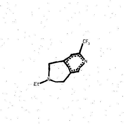 CCN1Cc2cnc(C(F)(F)F)cc2C1